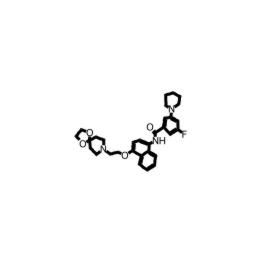 O=C(Nc1ccc(OCCN2CCC3(CC2)OCCO3)c2ccccc12)c1cc(F)cc(N2CCCCC2)c1